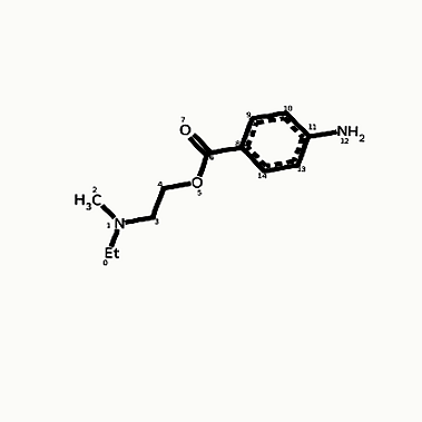 CCN(C)CCOC(=O)c1ccc(N)cc1